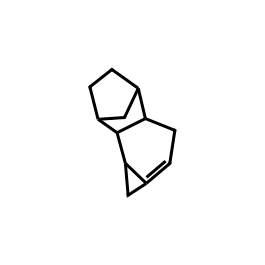 C1=C2CC2C2C3CCC(C3)C2C1